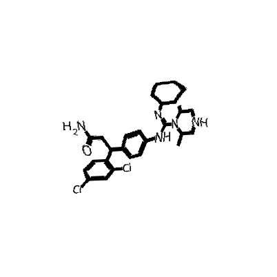 CC1CNCC(C)N1/C(=N\C1CCCCC1)Nc1ccc(C(CC(N)=O)c2ccc(Cl)cc2Cl)cc1